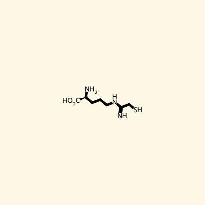 N=C(CS)NCCC[C@H](N)C(=O)O